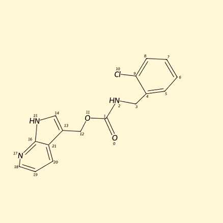 O=C(NCc1ccccc1Cl)OCc1c[nH]c2ncccc12